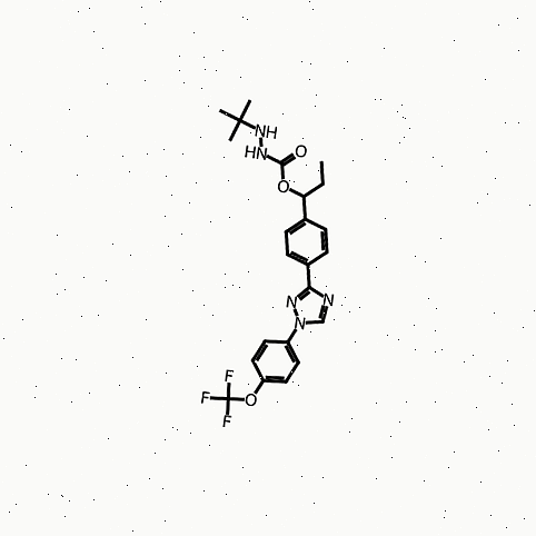 CCC(OC(=O)NNC(C)(C)C)c1ccc(-c2ncn(-c3ccc(OC(F)(F)F)cc3)n2)cc1